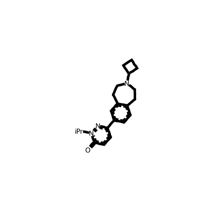 CC(C)n1nc(-c2ccc3c(c2)CCN(C2CCC2)CC3)ccc1=O